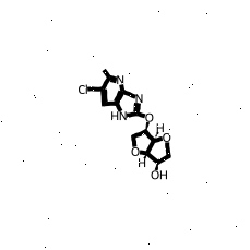 Cc1nc2nc(O[C@@H]3CO[C@H]4[C@@H]3OC[C@H]4O)[nH]c2cc1Cl